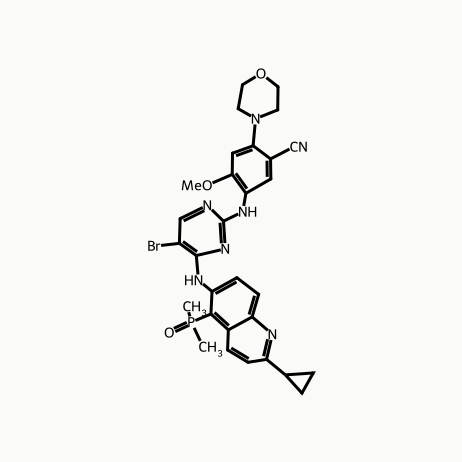 COc1cc(N2CCOCC2)c(C#N)cc1Nc1ncc(Br)c(Nc2ccc3nc(C4CC4)ccc3c2P(C)(C)=O)n1